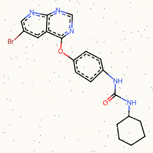 O=C(Nc1ccc(Oc2ncnc3ncc(Br)cc23)cc1)NC1CCCCC1